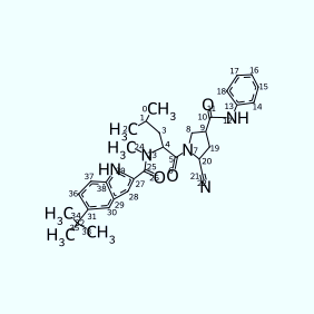 CC(C)CC(C(=O)N1CC(C(=O)Nc2ccccc2)CC1C#N)N(C)C(=O)c1cc2cc(C(C)(C)C)ccc2[nH]1